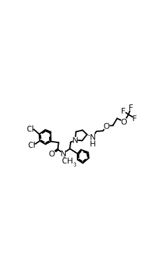 CN(C(=O)Cc1ccc(Cl)c(Cl)c1)C(CN1CC[C@H](NCCOCCOC(F)(F)F)C1)c1ccccc1